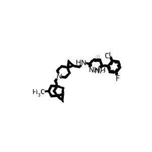 CC1CC2(CN3CCC4(CC3)CC4CNC(=N)/C=C\C(=N)c3cc(F)ccc3Cl)CC3CC3(C1)C2